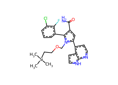 C[Si](C)(C)CCOCn1c(-c2ccnc3[nH]ccc23)cc(C(N)=O)c1-c1cccc(Cl)c1F